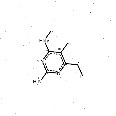 CCc1nc(N)nc(NC)c1C